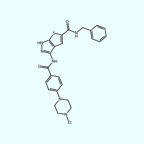 CCN1CCN(c2ccc(C(=O)Nc3n[nH]c4sc(C(=O)NCc5ccccc5)cc34)cc2)CC1